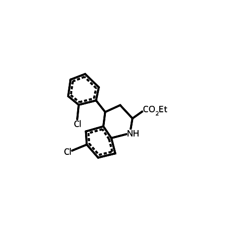 CCOC(=O)C1CC(c2ccccc2Cl)c2cc(Cl)ccc2N1